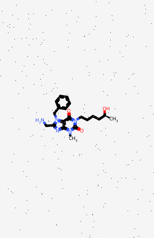 C[C@H](O)CCCCn1c(=O)c2c(nc(CN)n2Cc2ccccc2)n(C)c1=O